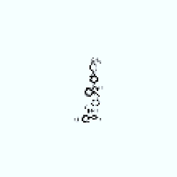 Cc1ncc(Cl)cc1C(=O)N[C@H]1CC[C@H](Cn2c(=O)n(-c3ccc(N4CCN(C)CC4)nc3)c3ccccc32)CC1